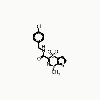 CN1N=C(C(=O)NCc2ccc(Cl)cc2)S(=O)(=O)c2ccsc21